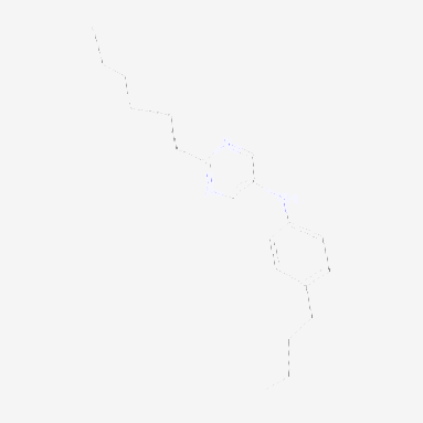 CCCCCCc1ncc(Nc2ccc(CCCC)cc2)cn1